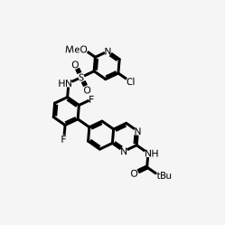 COc1ncc(Cl)cc1S(=O)(=O)Nc1ccc(F)c(-c2ccc3nc(NC(=O)C(C)(C)C)ncc3c2)c1F